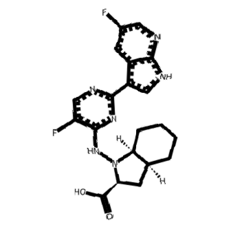 O=C(O)[C@@H]1C[C@@H]2CCCC[C@@H]2N1Nc1nc(-c2c[nH]c3ncc(F)cc23)ncc1F